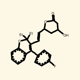 CCC1(CC)Oc2ccccc2C(c2ccc(F)cc2)=C1C=CC1CC(O)CC(=O)O1